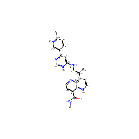 CNC(=O)c1ccnc2c([C@H](C)CNc3cc(-c4ccc(C)nc4)ncn3)ccnc12